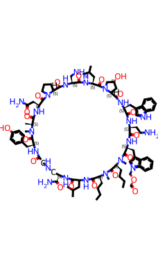 CCCC[C@H]1C(=O)N(C)[C@@H](CCCC)C(=O)NC(CC(C)C)C(=O)N[C@H](C(N)=O)CNCC(=O)N[C@@H](Cc2ccc(O)cc2)C(=O)N(C)[C@@H](C)C(=O)N[C@@H](CC(N)=O)C(=O)N2CCC[C@H]2C(=O)N[C@@H](CN)C(=O)N[C@@H](CC(C)C)C(=O)N2C[C@H](O)C[C@H]2C(=O)N[C@@H](Cc2c[nH]c3ccccc23)C(=O)N[C@@H](CCN)C(=O)N[C@@H](Cc2cn(COC=O)c3ccccc23)C(=O)N1C